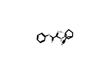 N#CN1C2CC[C@@H]1[C@H](NC(=O)C(=O)Oc1ccccc1)C2